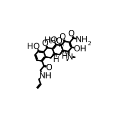 C=CCNCC(=O)c1ccc(O)c2c1C[C@H]1C[C@H]3[C@H](N(C)C)C(O)=C(C(N)=O)C(=O)[C@@]3(O)C(O)=C1C2=O